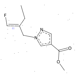 CC/C(=C\F)Cn1cc(C(=O)OC)cn1